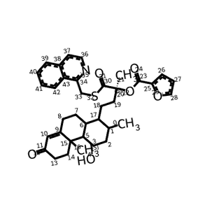 CC1C[C@H](O)C2C(CCC3=CC(=O)CCC32C)C1CC[C@](C)(OC(=O)c1ccco1)C(=O)SCc1nccc2ccccc12